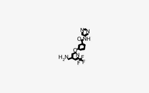 NCc1cc(Oc2cccc(C(=O)Nc3cncnc3)c2)nc(C(F)(F)F)c1